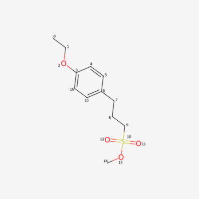 CCOc1ccc(CCCS(=O)(=O)OC)cc1